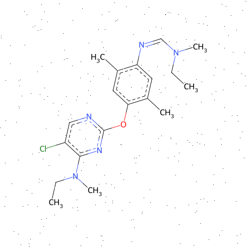 CCN(C)/C=N\c1cc(C)c(Oc2ncc(Cl)c(N(C)CC)n2)cc1C